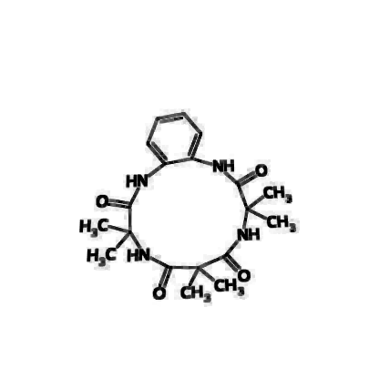 CC1(C)NC(=O)C(C)(C)C(=O)NC(C)(C)C(=O)Nc2ccccc2NC1=O